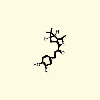 Cc1sc(C(=O)/C=C/c2ccc(O)c(Cl)c2)c2c1[C@H]1[C@@H](C2)C1(C)C